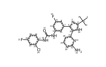 CC(C)(C)c1nc(-c2cc(F)cc(NC(=O)Nc3ccc(F)cc3Cl)c2)c(-c2ccnc(N)n2)[nH]1